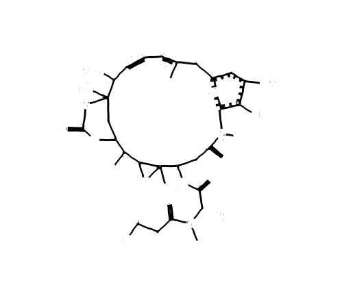 COc1cc2cc(c1Cl)N(C)C(=O)CC(OC(=O)[C@H](C)N(C)C(=O)CCS)C1(C)OC1C(C)C1CC(O)(NC(=O)O1)C(OC)/C=C/C=C(\C)C2